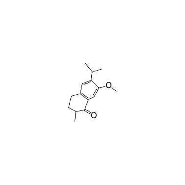 COc1cc2c(cc1C(C)C)CCC(C)C2=O